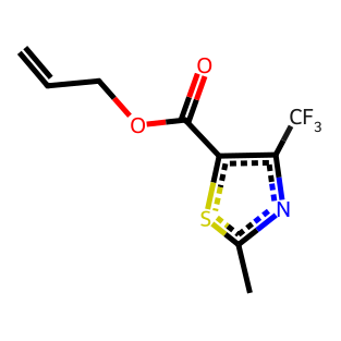 C=CCOC(=O)c1sc(C)nc1C(F)(F)F